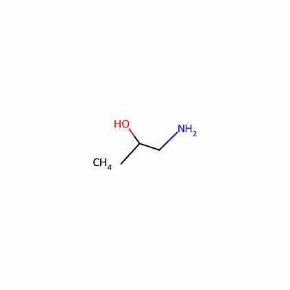 C.CC(O)CN